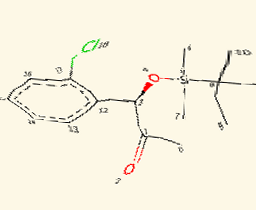 CC(=O)[C@H](O[Si](C)(C)C(C)(C)C)c1ccccc1Cl